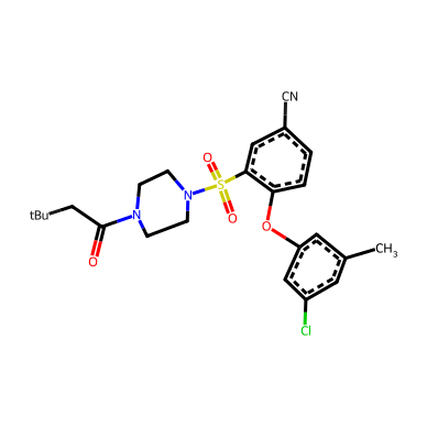 Cc1cc(Cl)cc(Oc2ccc(C#N)cc2S(=O)(=O)N2CCN(C(=O)CC(C)(C)C)CC2)c1